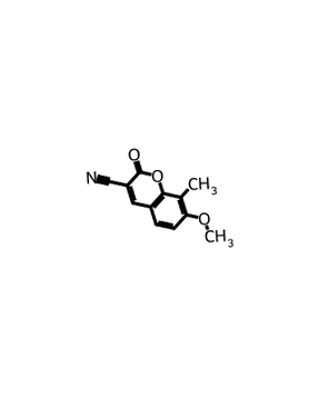 COc1ccc2cc(C#N)c(=O)oc2c1C